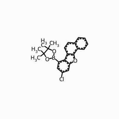 CC1(C)OB(c2cc(Cl)cc3oc4c5ccccc5ccc4c23)OC1(C)C